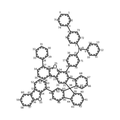 c1ccc(-c2ccc(N(c3ccccc3)c3ccc(-c4c5c(cc6c4oc4c(-c7ccccc7)cccc46)C4(c6ccccc6-c6ccc(-c7cccc8c7oc7ccccc78)cc64)c4ccccc4-5)cc3)cc2)cc1